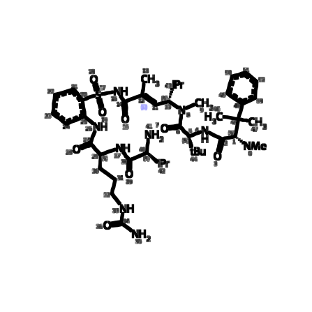 CN[C@H](C(=O)N[C@H](C(=O)N(C)[C@H](/C=C(\C)C(=O)NS(=O)(=O)c1ccccc1NC(=O)[C@H](CCCNC(N)=O)NC(=O)[C@@H](N)C(C)C)C(C)C)C(C)(C)C)C(C)(C)c1ccccc1